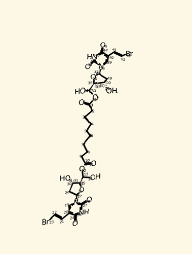 O=C(CCCCCCCCC(=O)OC(O)[C@H]1O[C@@H](n2cc(C=CBr)c(=O)[nH]c2=O)C[C@@H]1O)OC(O)[C@H]1O[C@@H](n2cc(C=CBr)c(=O)[nH]c2=O)C[C@@H]1O